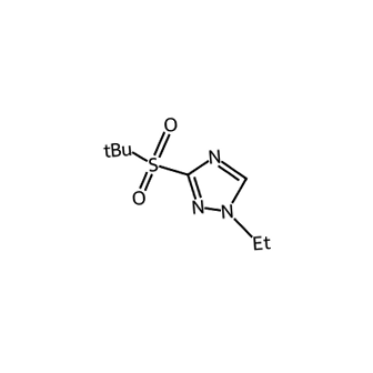 CCn1cnc(S(=O)(=O)C(C)(C)C)n1